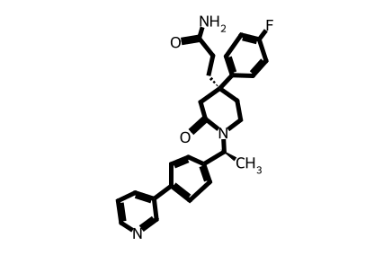 C[C@@H](c1ccc(-c2cccnc2)cc1)N1CC[C@](CCC(N)=O)(c2ccc(F)cc2)CC1=O